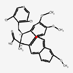 COc1ccc2cc([C@](C)(C(=O)O)[C@@H](Cc3c(Cl)cncc3Cl)c3ccc(OC)c(OC)c3)ccc2c1